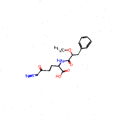 COC(Cc1ccccc1)C(=O)NC(CCC(=O)C=[N+]=[N-])C(=O)O